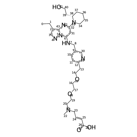 CCc1cnn2c(NCc3ccc(CCOCCOCCN(C)C/C=C/C(=O)O)nc3)cc(N3CCCC[C@H]3CCO)nc12